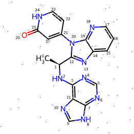 C[C@H](Nc1ncnc2[nH]cnc12)c1nc2cccnc2n1-c1cc[nH]c(=O)c1